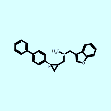 CN(Cc1coc2ccccc12)CC1C[C@H]1c1ccc(-c2ccccc2)cc1